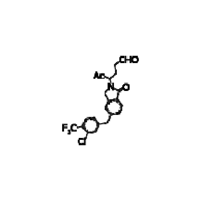 CC(=O)C(CCC=O)N1Cc2cc(Cc3ccc(C(F)(F)F)c(Cl)c3)ccc2C1=O